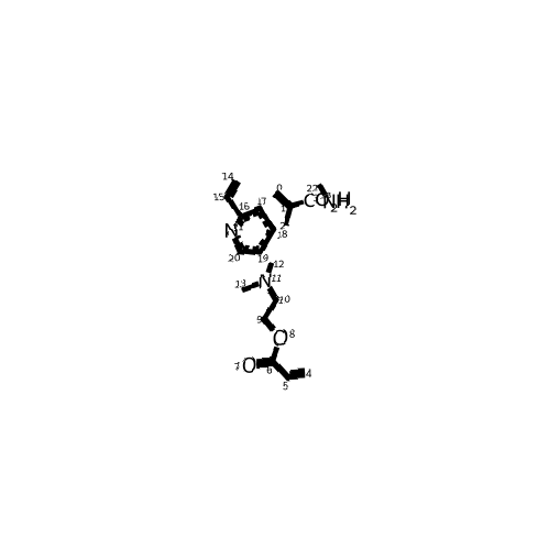 C=C(C)C(=O)O.C=CC(=O)OCCN(C)C.C=Cc1ccccn1.CN